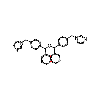 c1ccc(C(OC(c2ccccc2)c2ccc(Cn3ccnc3)cc2)c2ccc(Cn3ccnc3)cc2)cc1